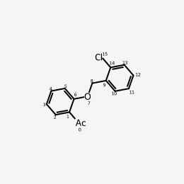 CC(=O)c1ccccc1OCc1ccccc1Cl